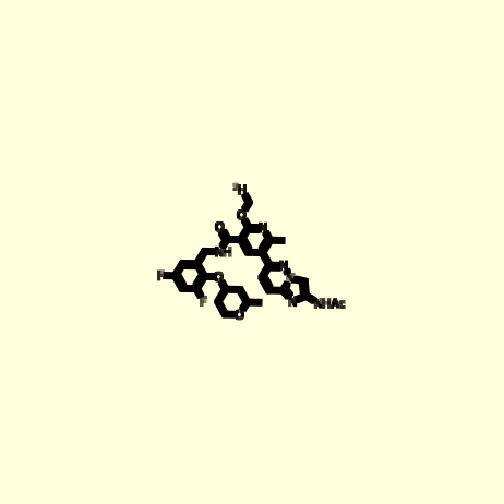 [2H]COc1nc(C)c(-c2ccc3nc(NC(C)=O)cn3n2)cc1C(=O)NCc1cc(F)cc(F)c1OC1CCOC(C)C1